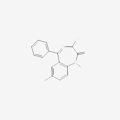 CC(=O)OC1N=C(c2ccccc2)c2cc(Cl)ccc2N(C)C1=O